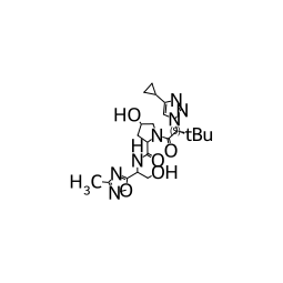 Cc1noc(C(CO)NC(=O)C2CC(O)CN2C(=O)[C@@H](n2cc(C3CC3)nn2)C(C)(C)C)n1